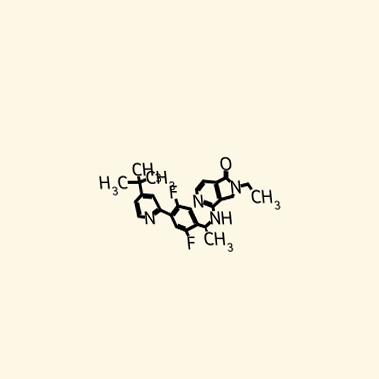 CCN1Cc2c(ccnc2N[C@@H](C)c2cc(F)c(-c3cc(C(C)(C)C)ccn3)cc2F)C1=O